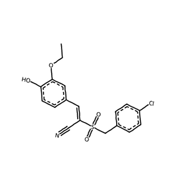 CCOc1cc(/C=C(\C#N)S(=O)(=O)Cc2ccc(Cl)cc2)ccc1O